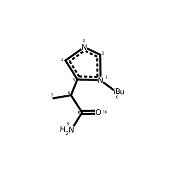 CCC(C)n1cncc1C(C)C(N)=O